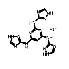 Cl.c1nc(Nc2cc(Nc3nc[nH]n3)nc(Nc3nc[nH]n3)n2)n[nH]1